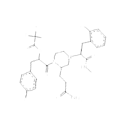 CNC(=O)C(Cc1ccccc1Cl)N1CCN(C(=O)C(Cc2ccc(F)cc2)OC(=O)C(F)(F)F)C(CCC(N)=O)C1